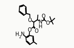 Cc1ccc(N)c(OC(=O)C(OCc2ccccc2)C(C)NC(=O)OC(C)(C)C)c1